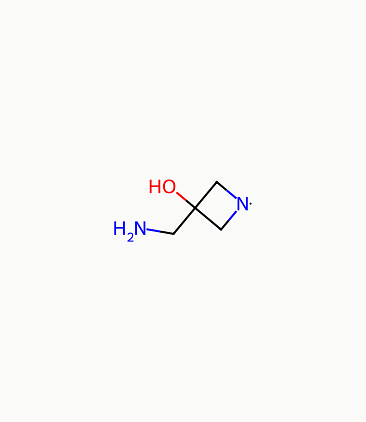 NCC1(O)C[N]C1